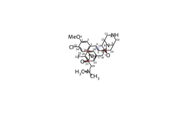 COc1cc(/C=C/C(=O)N2C3CNCC2CN(Cc2ccc(F)cc2)C3)c(NC(=O)CN(C)C)cc1Cl